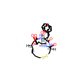 O=C1C[C@H]2/C=C/CCSSC[C@@H](NC(=O)[C@@H](Cc3ccccc3)N1)C(=O)N[C@H](Cc1ccccc1)[C@@H](O)CC(=O)O2